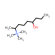 CCCC(O)CCCC(C)[N+](C)(C)C